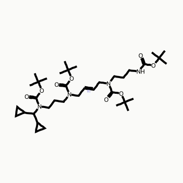 CC(C)(C)OC(=O)NCCCN(C/C=C/CN(CCCN(C(=O)OC(C)(C)C)C(C1CC1)C1CC1)C(=O)OC(C)(C)C)C(=O)OC(C)(C)C